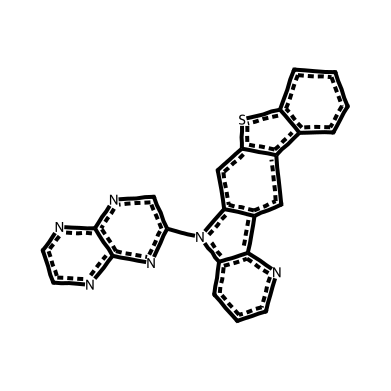 c1ccc2c(c1)sc1cc3c(cc12)c1ncccc1n3-c1cnc2nccnc2n1